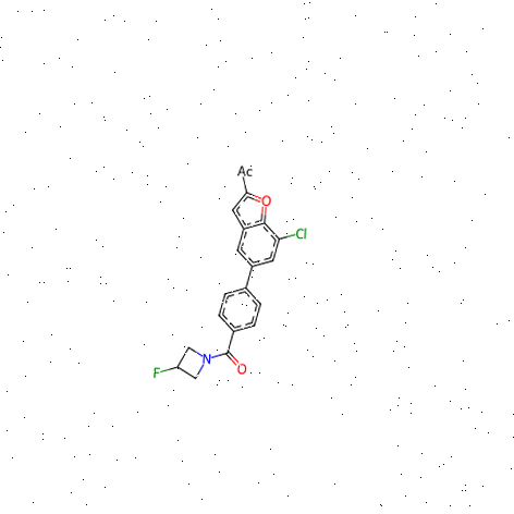 CC(=O)c1cc2cc(-c3ccc(C(=O)N4CC(F)C4)cc3)cc(Cl)c2o1